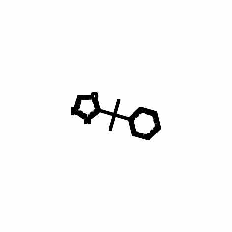 CC(C)(c1ccccc1)c1nnco1